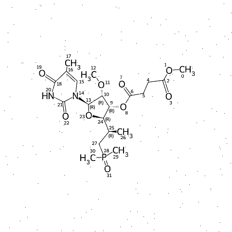 COC(=O)CCC(=O)O[C@H]1[C@@H](OC)[C@H](n2cc(C)c(=O)[nH]c2=O)O[C@@H]1[C@@H](C)CP(C)(C)=O